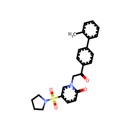 Cc1ccccc1-c1ccc(C(=O)Cn2cc(S(=O)(=O)N3CCCC3)ccc2=O)cc1